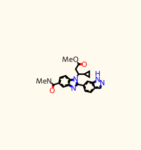 CNC(=O)c1ccc2c(c1)nc(-c1ccc3cn[nH]c3c1)n2C(CC(=O)OC)C1CC1